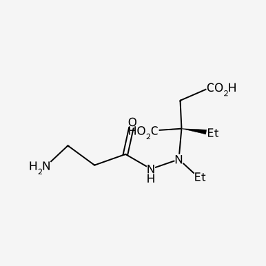 CCN(NC(=O)CCN)[C@@](CC)(CC(=O)O)C(=O)O